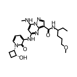 CCC(CCCOC)NC(=O)c1cnn2c(NC)cc(Nc3cccn([C@H]4CC[C@H]4O)c3=O)nc12